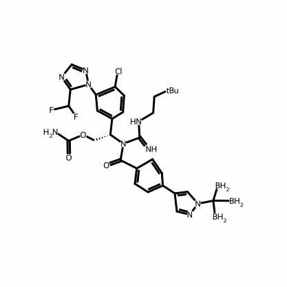 BC(B)(B)n1cc(-c2ccc(C(=O)N(C(=N)NCCC(C)(C)C)[C@H](COC(N)=O)c3ccc(Cl)c(-n4ncnc4C(F)F)c3)cc2)cn1